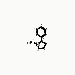 CCCCN1CCCC1c1ccccc1